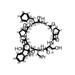 CC(C)C[C@@H]1NC(=O)[C@H]([C@@H](C)O)NC(=O)[C@@H]2CCCN2C(=O)CNC(=O)[C@H](Cc2ccccc2)NC(=O)[C@@H]2CCCN2C(=O)[C@@H]2C[C@]3(O)c4ccccc4N[C@@H]3N2C1=O